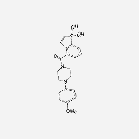 COc1ccc(N2CCN(C(=O)c3cccc4c3C=CS4(O)O)CC2)cc1